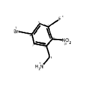 NCc1cc(Br)cc(F)c1[N+](=O)[O-]